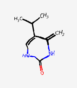 C=C1NC(=O)NC=C1C(C)C